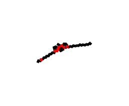 CCCCCCCCCCCCCCCCCCN1C=CN(CCCCCCCCCCCCCCCC)C1(Cc1ccccc1)C(CC)c1ccccc1